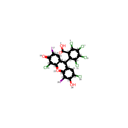 O=C(O)c1c(Cl)c(Cl)c(Cl)c(Cl)c1-c1c2cc(I)c(=O)c(Cl)c-2oc2c(I)c(O)c(Cl)cc12